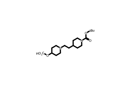 CC(C)(C)OC(=O)N1CCC(CCN2CCC(OC(=O)O)CC2)CC1